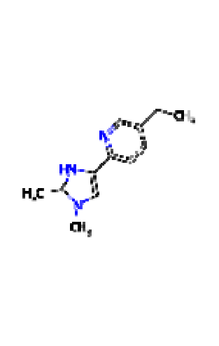 CCc1ccc(C2=CN(C)C(C)N2)nc1